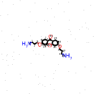 NCCCOc1ccc2c(=O)c3ccc(OCCCN)cc3oc2c1